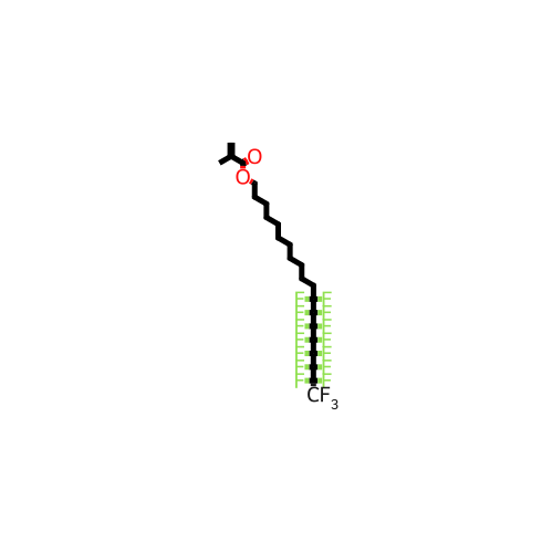 C=C(C)C(=O)OCCCCCCCCCCCC(F)(F)C(F)(F)C(F)(F)C(F)(F)C(F)(F)C(F)(F)C(F)(F)C(F)(F)F